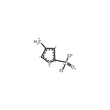 Cc1csc(P(=O)(Cl)Cl)c1